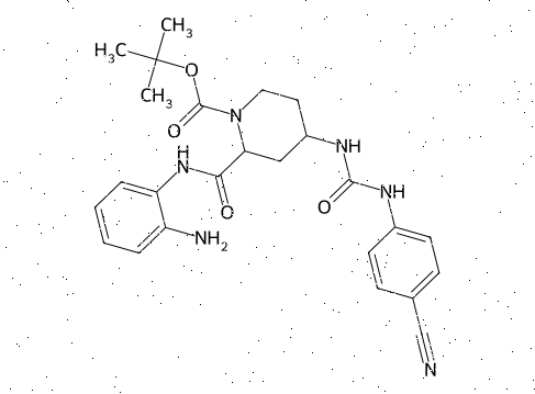 CC(C)(C)OC(=O)N1CCC(NC(=O)Nc2ccc(C#N)cc2)CC1C(=O)Nc1ccccc1N